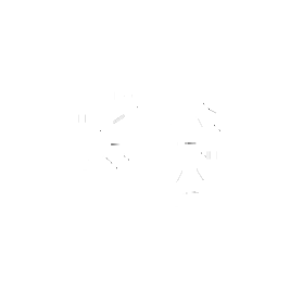 Cn1cc(C(C)(O)C#CC2(O)CC3CC(c4ncn(C)c4C(=O)Nc4ccc(F)c(Cl)c4)CC3C2)c(C(F)F)n1